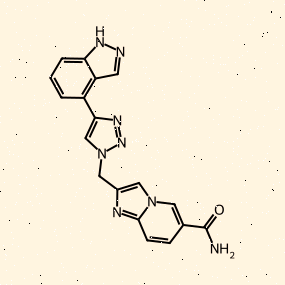 NC(=O)c1ccc2nc(Cn3cc(-c4cccc5[nH]ncc45)nn3)cn2c1